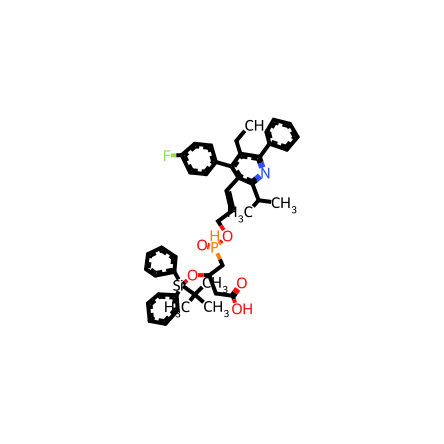 CCc1c(-c2ccccc2)nc(C(C)C)c(C=CCO[PH](=O)CC(CC(=O)O)O[Si](c2ccccc2)(c2ccccc2)C(C)(C)C)c1-c1ccc(F)cc1